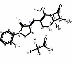 N[C@@H]1C(=O)N2C(C(=O)O)=C(/C=C3\CCN(c4ccccc4F)C3=O)CS[C@H]12.O=C(O)C(F)(F)F